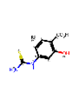 NC(=S)Nc1ccc(C(=O)O)c(O)c1.[Bi]